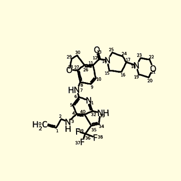 C=CCNc1cc(Nc2ccc(C(=O)N3CCC(N4CCOCC4)CC3)c3c2OCC3)nc2[nH]cc(C(F)(F)F)c12